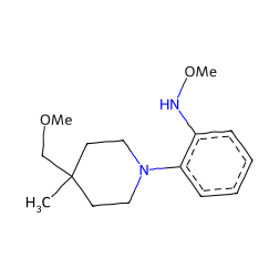 COCC1(C)CCN(c2ccccc2NOC)CC1